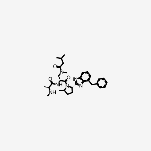 CN[C@@H](C)C(=O)N[C@@H](CN(C)C(=O)CC(C)C)C(=O)N1C(C)CC[C@H]1c1nc2c(Cc3ccccc3)cccc2[nH]1